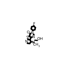 CN(CCO)c1ccnc2sc3c(=O)n(-c4ccc(F)cc4)cnc3c12